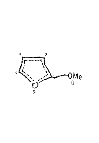 [CH]Oc1ccco1